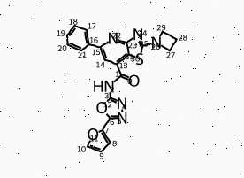 O=C(Nc1nnc(-c2ccco2)o1)c1cc(-c2ccccc2)nc2nc(N3CCC3)sc12